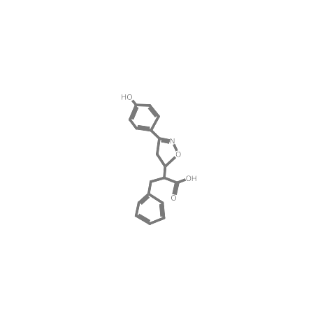 O=C(O)C(Cc1ccccc1)C1CC(c2ccc(O)cc2)=NO1